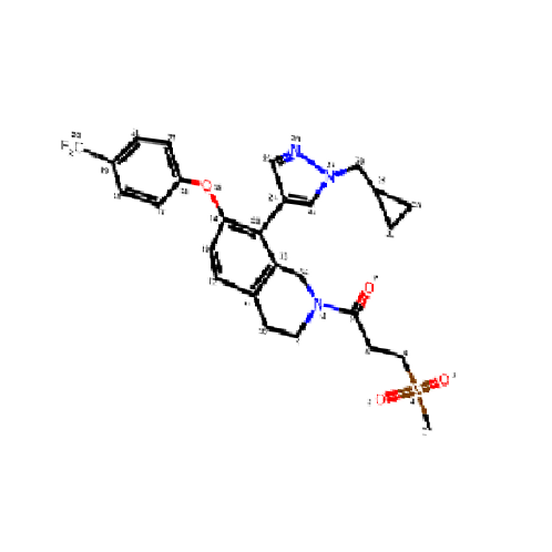 CS(=O)(=O)CCC(=O)N1CCc2ccc(Oc3ccc(C(F)(F)F)cc3)c(-c3cnn(CC4CC4)c3)c2C1